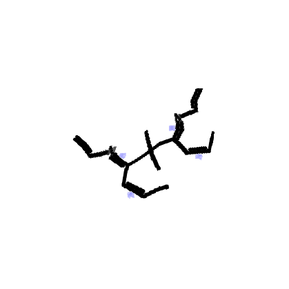 C=C/N=C(\C=C/C)C(C)(C)C(/C=C\C)=N/C=C